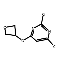 Clc1cc(OC2COC2)nc(Cl)n1